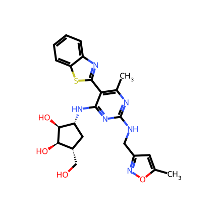 Cc1cc(CNc2nc(C)c(-c3nc4ccccc4s3)c(N[C@@H]3C[C@H](CO)[C@@H](O)[C@H]3O)n2)no1